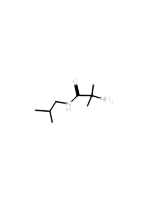 CC(C)CNC(=O)C(C)(C)N